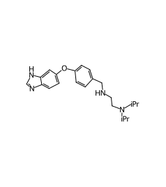 CC(C)N(CCNCc1ccc(Oc2ccc3nc[nH]c3c2)cc1)C(C)C